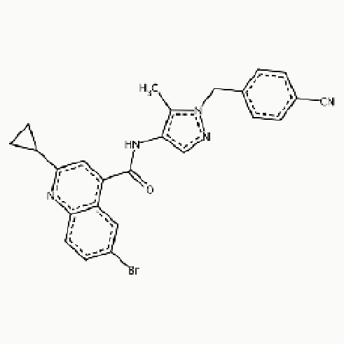 Cc1c(NC(=O)c2cc(C3CC3)nc3ccc(Br)cc23)cnn1Cc1ccc(C#N)cc1